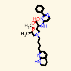 COC(C)CN(CCCCc1ccc2c(n1)NCCC2)CCC(Nc1ccnc(-c2ccccc2)n1)C(=O)O